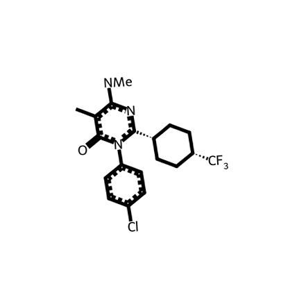 CNc1nc([C@H]2CC[C@@H](C(F)(F)F)CC2)n(-c2ccc(Cl)cc2)c(=O)c1C